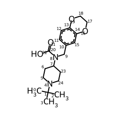 CC(C)(C)N1CCC(N(Cc2ccc3c(c2)OCCO3)C(=O)O)CC1